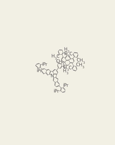 Cc1cccc(C)c1-c1cc(-c2c(C)cccc2C)c2ccc3c(-c4c(C)cc(-c5cc6c7cc8cc(-c9c(C(C)C)cccc9C(C)C)ccc8cc7n7c8cc9ccc(-c%10c(C(C)C)cccc%10C(C)C)cc9cc8c(c5)c67)cc4C)cc(-c4c(C)cccc4C)c4ccc1c2c43